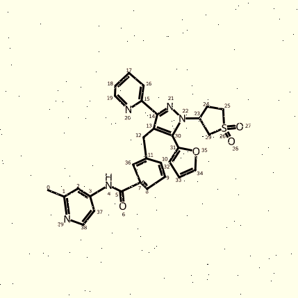 Cc1cc(NC(=O)c2cccc(Cc3c(-c4ccccn4)nn(C4CCS(=O)(=O)C4)c3-c3ccco3)c2)ccn1